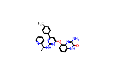 C[C@H](Nc1nc(Oc2cccc3[nH]c(=O)c(N)nc23)cc(-c2ccc(C(F)(F)F)cc2)n1)c1ccccn1